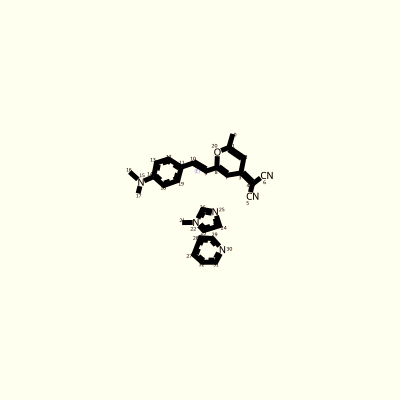 CC1=CC(=C(C#N)C#N)C=C(/C=C/c2ccc(N(C)C)cc2)O1.Cn1ccnc1.c1ccncc1